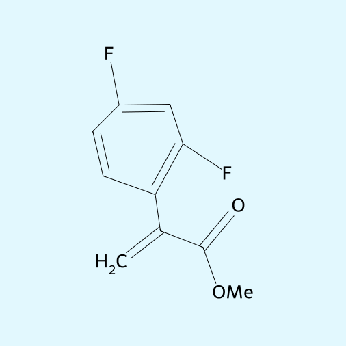 C=C(C(=O)OC)c1ccc(F)cc1F